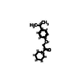 CC(C)c1ccc(OCC(=O)N2CCCCC2)cc1